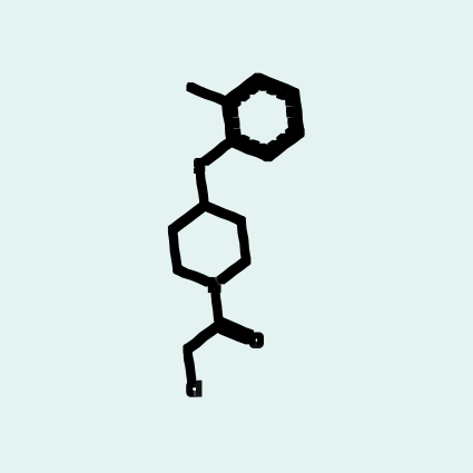 Cc1ccccc1SC1CCN(C(=O)CCl)CC1